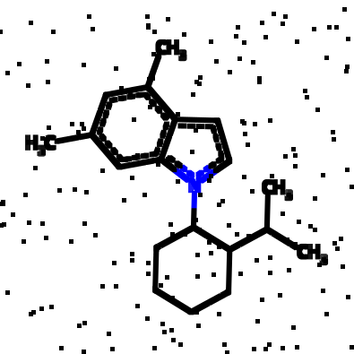 Cc1cc(C)c2ccn(C3CCCCC3C(C)C)c2c1